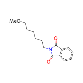 COCCCCCCN1C(=O)c2ccccc2C1=O